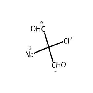 O=C[C]([Na])(Cl)C=O